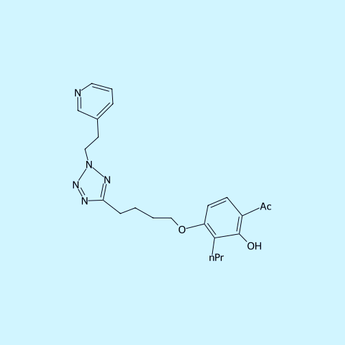 CCCc1c(OCCCCc2nnn(CCc3cccnc3)n2)ccc(C(C)=O)c1O